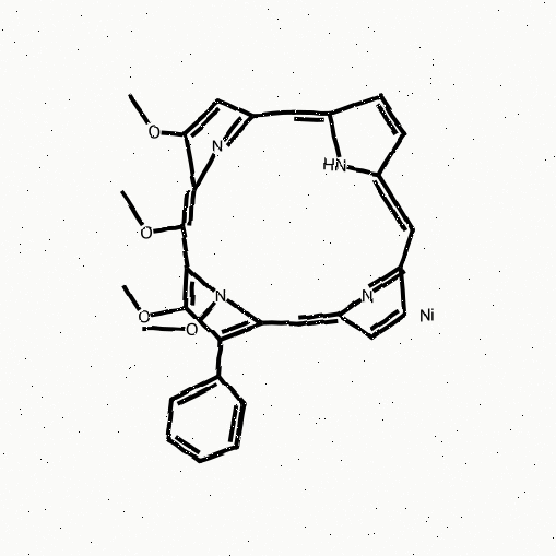 COC1=Cc2cc3ccc(cc4nc(cc5c(-c6ccccc6)c(OC)c(c(OC)c1n2)n5OC)C=C4)[nH]3.[Ni]